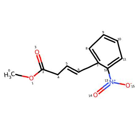 COC(=O)CC=Cc1ccccc1[N+](=O)[O-]